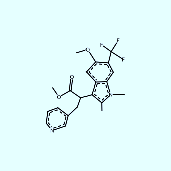 COC(=O)C(Cc1cccnc1)c1c(C)n(C)c2cc(C(F)(F)F)c(OC)cc12